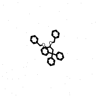 c1ccc(COCC(CC(c2ccccc2)(c2ccccc2)c2ccccc2)OCc2ccccc2)cc1